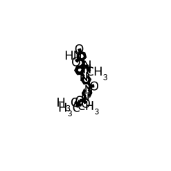 Cn1nc(C2CCC(=O)NC2=O)c2cccc(N3CCC(C(=O)N4CCN(C(=O)OC(C)(C)C)CC4)CC3)c21